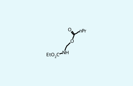 CCCC(=O)OCNC(=O)OCC